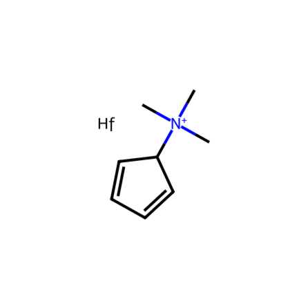 C[N+](C)(C)C1C=CC=C1.[Hf]